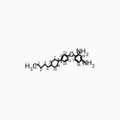 CCCCCC1CCC(c2ccc(Oc3ccc(N)cc3N)cc2)CC1